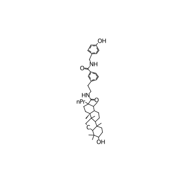 CCCC1(C(=O)NCCc2cccc(C(=O)NCc3ccc(O)cc3)c2)CC[C@]2(C)C(CCC3C4(C)CCC(O)C(C)(C)C4CCC32C)C1C